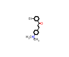 CCc1cccc(C(=O)C=Cc2ccc(N(C)C)cc2)c1